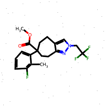 COC(=O)C1(c2cccc(F)c2C)CCc2cn(CC(F)(F)F)nc2CC1